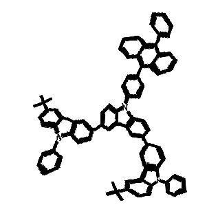 CC(C)(C)c1ccc2c(c1)c1cc(-c3ccc4c(c3)c3cc(-c5ccc6c(c5)c5cc(C(C)(C)C)ccc5n6-c5ccccc5)ccc3n4-c3ccc(-c4c5ccccc5c(-c5ccccc5)c5ccccc45)cc3)ccc1n2-c1ccccc1